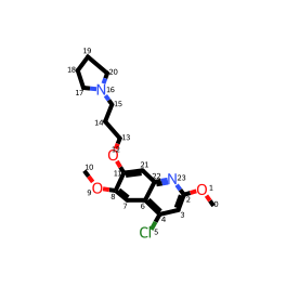 COc1cc(Cl)c2cc(OC)c(OCCCN3CCCC3)cc2n1